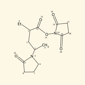 CCC(CC(C)N1CCCC1=O)C(=O)ON1C(=O)CCC1=O